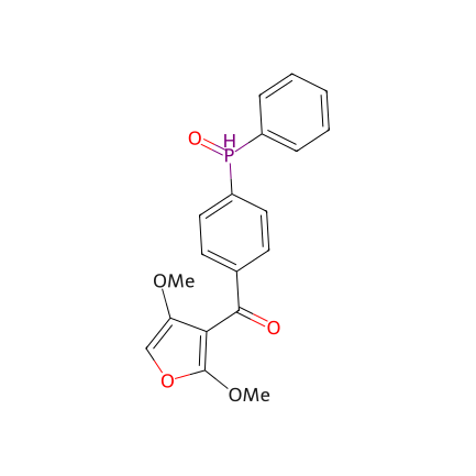 COc1coc(OC)c1C(=O)c1ccc([PH](=O)c2ccccc2)cc1